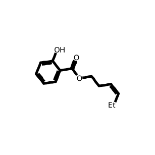 CC/C=C\CCOC(=O)c1ccccc1O